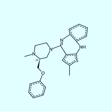 Cc1cc2c(s1)Nc1ccccc1N=C2N1CCN(C)[C@H](COc2ccccc2)C1